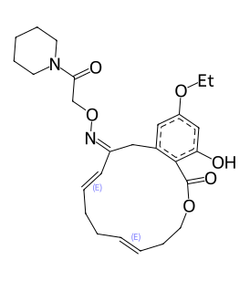 CCOc1cc(O)c2c(c1)CC(=NOCC(=O)N1CCCCC1)/C=C/CC/C=C/CCOC2=O